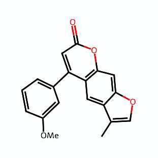 COc1cccc(-c2cc(=O)oc3cc4occ(C)c4cc23)c1